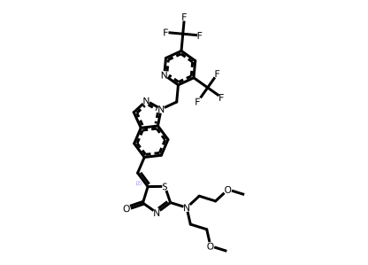 COCCN(CCOC)C1=NC(=O)/C(=C/c2ccc3c(cnn3Cc3ncc(C(F)(F)F)cc3C(F)(F)F)c2)S1